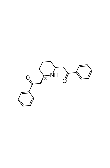 O=C(CC1CCC[C@H](CC(=O)c2ccccc2)N1)c1ccccc1